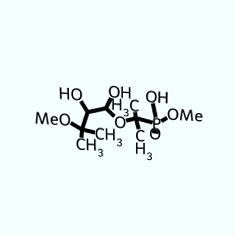 COC(C)(C)C(O)C(O)OC(C)(C)P(=O)(O)OC